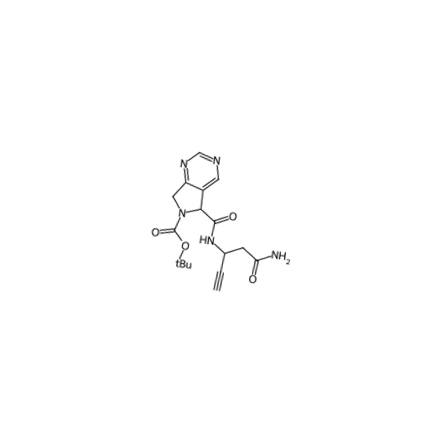 C#CC(CC(N)=O)NC(=O)C1c2cncnc2CN1C(=O)OC(C)(C)C